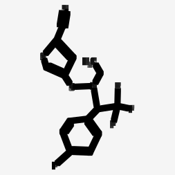 CCN(Sc1csc(C#N)c1)C(c1ccc(F)cc1)C(F)(F)F